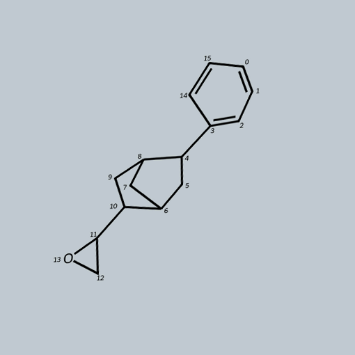 c1ccc(C2CC3CC2CC3C2CO2)cc1